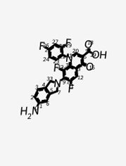 Nc1ccc2c(c1)CN(c1c(F)cc3c(=O)c(C(=O)O)cn(-c4ccc(F)cc4F)c3c1F)C2